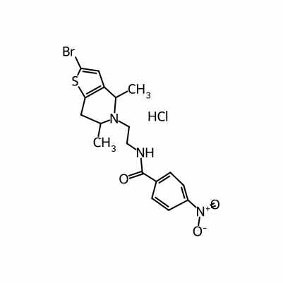 CC1Cc2sc(Br)cc2C(C)N1CCNC(=O)c1ccc([N+](=O)[O-])cc1.Cl